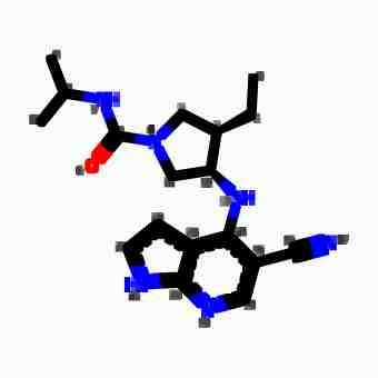 CC[C@@H]1CN(C(=O)NC(C)C)C[C@@H]1Nc1c(C#N)cnc2[nH]ccc12